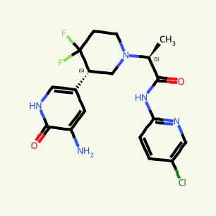 C[C@@H](C(=O)Nc1ccc(Cl)cn1)N1CCC(F)(F)[C@@H](c2c[nH]c(=O)c(N)c2)C1